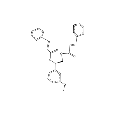 COc1cccc([C@H](COC(=O)/C=C/c2ccccc2)OC(=O)/C=C/c2ccccc2)c1